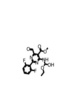 CCOC(O)Nc1nc(-c2c(F)cccc2F)nc(C=O)c1C(=O)OC